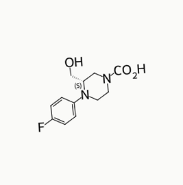 O=C(O)N1CCN(c2ccc(F)cc2)[C@H](CO)C1